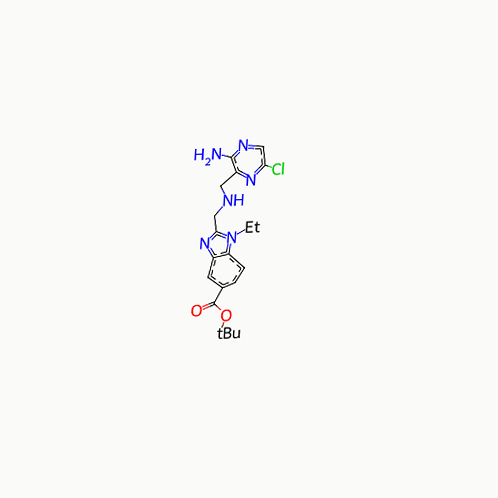 CCn1c(CNCc2nc(Cl)cnc2N)nc2cc(C(=O)OC(C)(C)C)ccc21